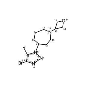 Cc1c(Br)nnn1C1CCCN(C2COC2)CC1